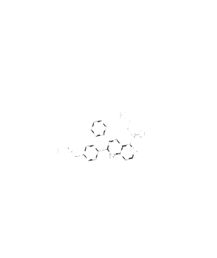 CCN(CCO)c1nccc2nc(-c3ccc(CN)cc3)c(-c3ccccc3)cc12